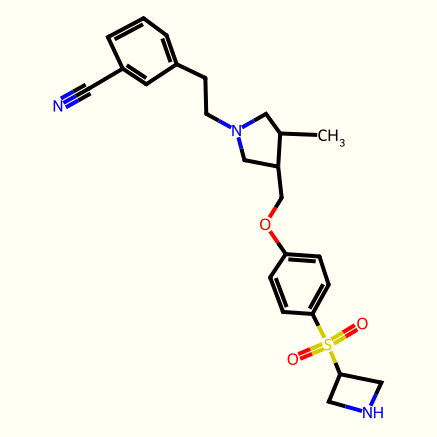 CC1CN(CCc2cccc(C#N)c2)CC1COc1ccc(S(=O)(=O)C2CNC2)cc1